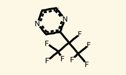 FC(F)(F)C(F)(c1cnc[c]n1)C(F)(F)F